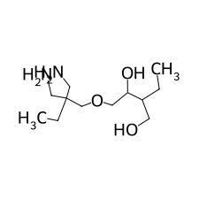 CCC(CO)C(O)COCC(CC)(CN)CN